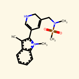 CN(CC1=CC(c2c(C#N)c3ccccc3n2C)=CNC1)S(C)(=O)=O